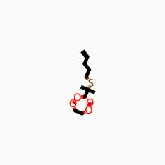 C=CCCCSC(C)(C)C1OOCCOO1